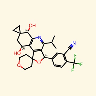 CC(C)c1nc2c(c3c1[C@@H](c1ccc(C(F)(F)F)c(C#N)c1)OC31CCOCC1)[C@@H](O)CC1(CC1)[C@H]2O